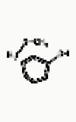 CSC.Oc1ccccc1